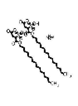 CCCCCCCCCCCCCCCCOC(=O)C(CC(=O)[O-])S(=O)(=O)O.CCCCCCCCCCCCCCCCOC(=O)C(CC(=O)[O-])S(=O)(=O)O.[Na+].[Na+]